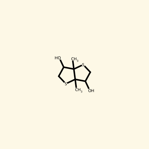 CC12SCC(O)C1(C)SCC2O